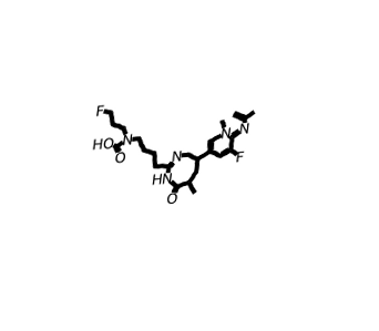 C=C(C)/N=c1/c(F)cc(C2C/N=C(/CCCCN(CCCF)C(=O)O)NC(=O)C(C)C2)cn1C